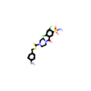 NS(=O)(=O)c1cc(C(=O)N2CCN(C(=S)SCc3ccc([N+](=O)[O-])cc3)CC2)c(Cl)cc1Cl